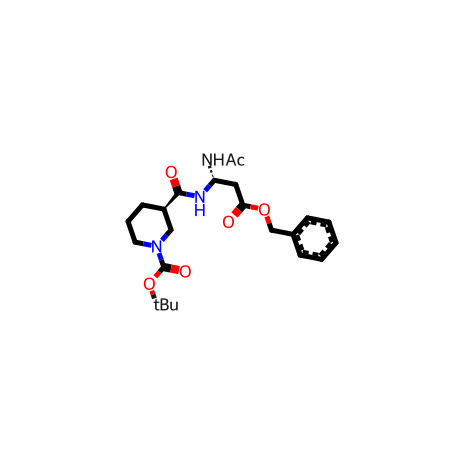 CC(=O)N[C@H](CC(=O)OCc1ccccc1)NC(=O)[C@@H]1CCCN(C(=O)OC(C)(C)C)C1